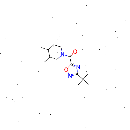 CC1CCN(C(=O)c2nc(C(C)(C)C)no2)CC1C